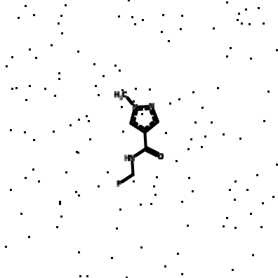 Cn1cc(C(=O)NCF)cn1